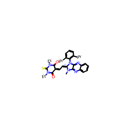 CCN1C(=O)C(=C/C=C2\N(C)c3nc4ccccc4nc3N2c2c(C(C)C)cccc2C(C)C)C(=O)N(CC)C1=S